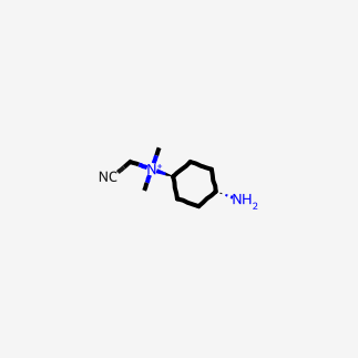 C[N+](C)(CC#N)[C@H]1CC[C@H](N)CC1